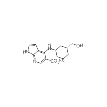 CCOC(=O)c1cnc2[nH]ccc2c1N[C@@H]1CCC[C@@H](CO)C1